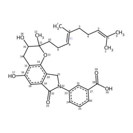 CC(C)=CCC/C(C)=C/CCC1(C)Oc2c(c(O)cc3c2CN(c2cccc(C(=O)O)c2)C3=O)CC1O